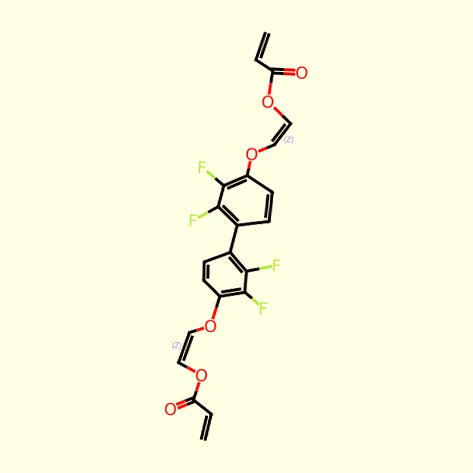 C=CC(=O)O/C=C\Oc1ccc(-c2ccc(O/C=C\OC(=O)C=C)c(F)c2F)c(F)c1F